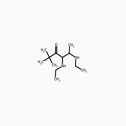 CCNC(C)C(NCC)C(=O)C(C)(C)C